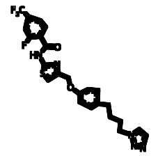 O=C(Nc1nc(COc2ccc(CCCCn3ccnn3)cc2)cs1)c1ccc(C(F)(F)F)cc1F